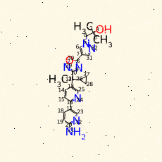 CC(C)(O)Cn1cc(-c2nc([C@](C)(c3ccc(-c4ccc(N)nc4)nc3)C3CC3)no2)cn1